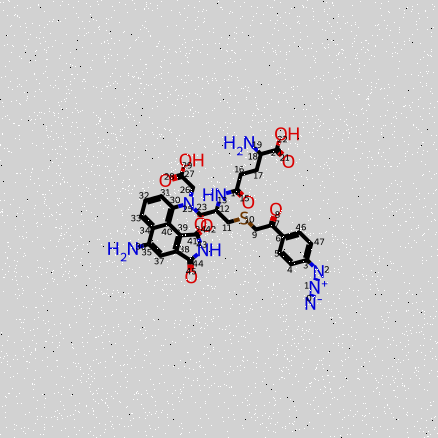 [N-]=[N+]=Nc1ccc(C(=O)CSCC(NC(=O)CCC(N)C(=O)O)C(=O)N(CC(=O)O)c2cccc3c(N)cc4c(c23)C(=O)NC4=O)cc1